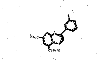 COc1cc(OC)c2ccc(-c3cccc(C)c3)nc2c1